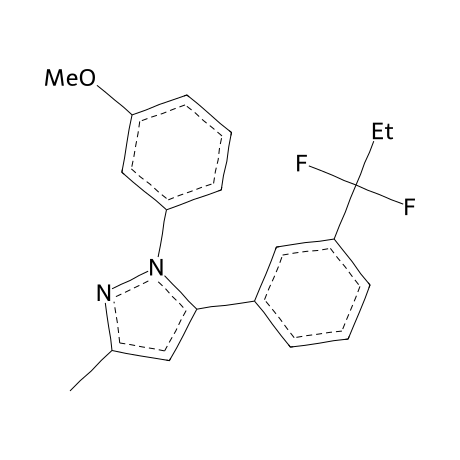 CCC(F)(F)c1cccc(-c2cc(C)nn2-c2cccc(OC)c2)c1